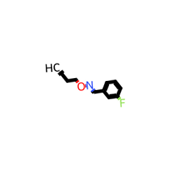 C#CCCON=[C]c1cccc(F)c1